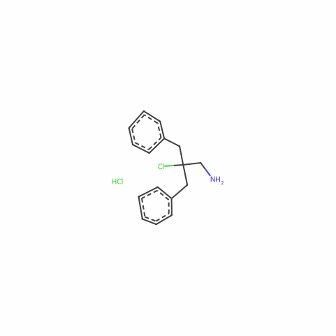 Cl.NCC(Cl)(Cc1ccccc1)Cc1ccccc1